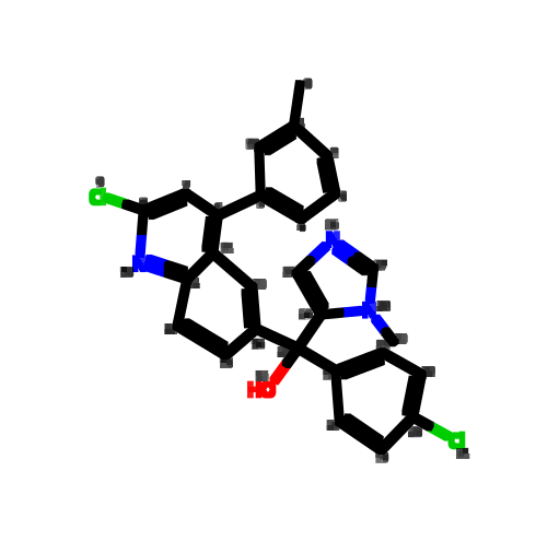 Cc1cccc(-c2cc(Cl)nc3ccc(C(O)(c4ccc(Cl)cc4)c4cncn4C)cc23)c1